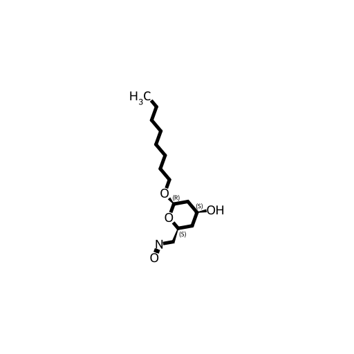 CCCCCCCCO[C@H]1C[C@@H](O)C[C@@H](CN=O)O1